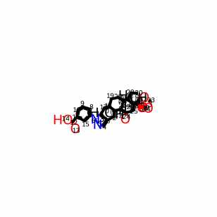 C[C@]12Cc3cnn(-c4cccc(C(=O)O)c4)c3C=C1CC[C@@H]1[C@@H]2C(=O)C[C@@]2(C)[C@H]1CC[C@@]21OCOC12COCO2